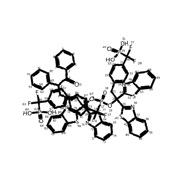 O=C(c1ccccc1)C(Cc1ccc(C(F)(F)P(=O)(OC(Cc2ccc(C(F)(F)P(=O)(O)O)cc2)(c2nc3ccccc3s2)c2nc3ccccc3s2)OC(Cc2ccc(C(F)(F)P(=O)(O)O)cc2)(c2nc3ccccc3s2)c2nc3ccccc3s2)cc1)c1ccccc1